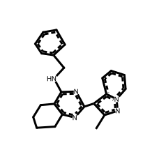 Cc1nn2ccccc2c1-c1nc2c(c(NCc3ccccc3)n1)CCCC2